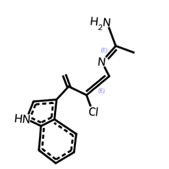 C=C(/C(Cl)=C\N=C(/C)N)c1c[nH]c2ccccc12